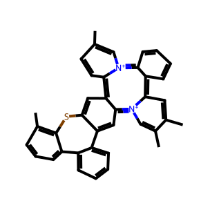 Cc1ccc2c3cc4sc5c(C)cccc5c5ccccc5c4cc3[n+]3cc(C)c(C)cc3c3ccccc3[n+]2c1